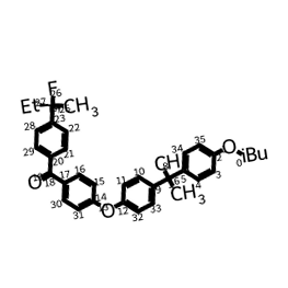 CCC(C)Oc1ccc(C(C)(C)c2ccc(Oc3ccc(C(=O)c4ccc([C@@](C)(F)CC)cc4)cc3)cc2)cc1